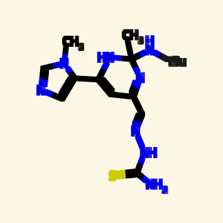 Cn1cncc1C1=CC(C=NNC(N)=S)=NC(C)(NC(C)(C)C)N1